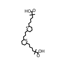 CC(C)(CCCCC1CCCC(CCCC2CCCC(CCCCC(C)(C)C(=O)O)S2)S1)C(=O)O